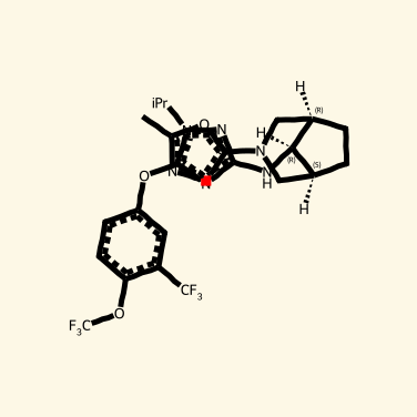 Cc1nnc(N2C[C@H]3CC[C@@H](C2)[C@H]3Nc2nc(Oc3ccc(OC(F)(F)F)c(C(F)(F)F)c3)n(C(C)C)n2)o1